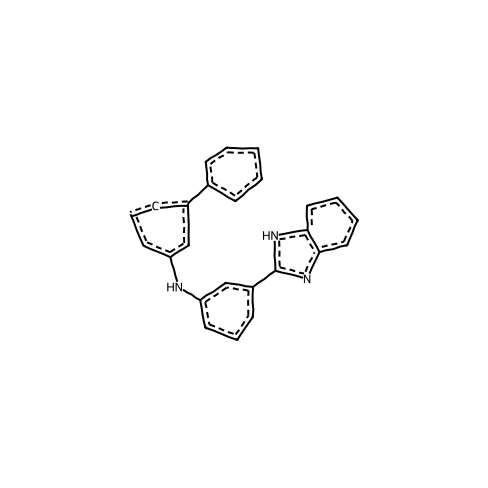 c1ccc(-c2cccc(Nc3cccc(-c4nc5ccccc5[nH]4)c3)c2)cc1